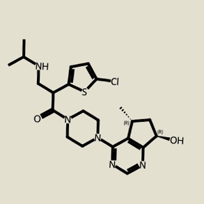 CC(C)NCC(C(=O)N1CCN(c2ncnc3c2[C@H](C)C[C@H]3O)CC1)c1ccc(Cl)s1